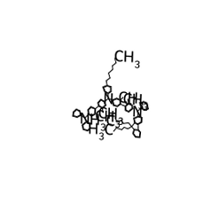 CCCCCCCCc1ccc(N(c2ccc(-c3ccc(N(c4ccccc4)c4ccccc4)cc3C)c(C)c2)c2ccc(-c3ccc(N(c4ccccc4)c4ccc5c(c4)C(CCCCCC)(CCCCCC)c4ccccc4-5)cc3C)c(C)c2)cc1